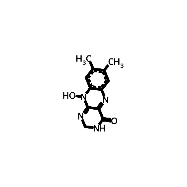 Cc1cc2c(cc1C)N(O)C1=NCNC(=O)C1=N2